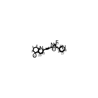 O=C1CCCc2nc(C#Cc3nc(F)c(-c4cccnc4)o3)ccc21